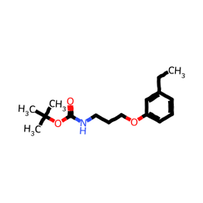 CCc1cccc(OCCCNC(=O)OC(C)(C)C)c1